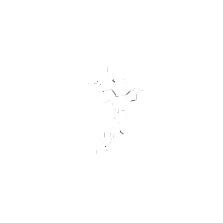 C=C/C(C(=O)NC)=C(/NN1CC[C@@H](C(=O)NCC(F)(F)F)C1)c1cc[nH]c1N